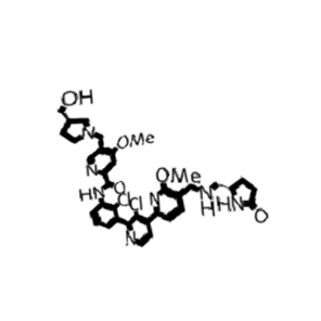 COc1cc(C(=O)Nc2cccc(-c3nccc(-c4ccc(CNC[C@@H]5CCC(=O)N5)c(OC)n4)c3Cl)c2Cl)ncc1CN1CC[C@@H](CO)C1